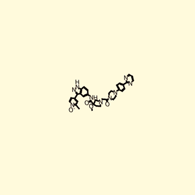 CO[C@@]1(C(=O)Nc2ccc3[nH]nc(-c4cc[n+]([O-])c(C)c4)c3c2)CCN(CC(=O)N2CCN(c3ccc(-c4ncccn4)cc3)CC2)C1